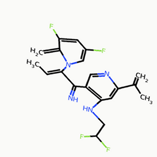 C=C(C)c1cc(NCC(F)F)c(C(=N)/C(=C/C)N2C=C(F)C=C(F)C2=C)cn1